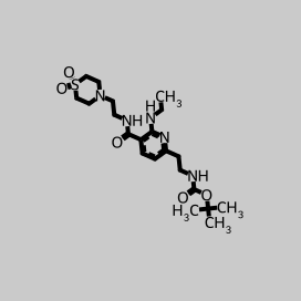 CCNc1nc(CCNC(=O)OC(C)(C)C)ccc1C(=O)NCCN1CCS(=O)(=O)CC1